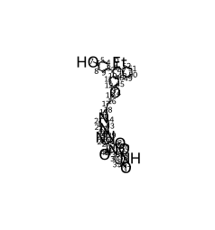 CCC(=C(c1ccc(O)cc1)c1ccc(OCCCCCN2CCN(c3ncc4c(n3)C(=O)N(C3CCC(=O)NC3=O)C4=O)CC2)cc1)c1ccccc1